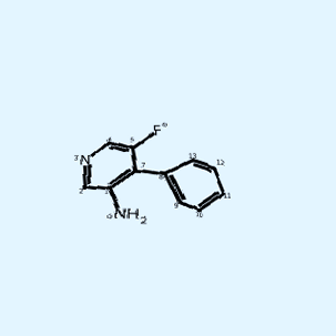 Nc1cncc(F)c1-c1ccccc1